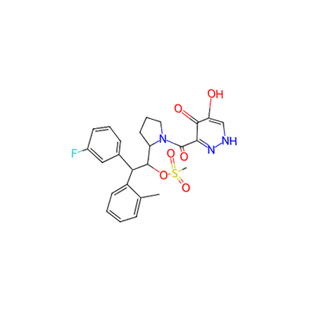 Cc1ccccc1C(c1cccc(F)c1)C(OS(C)(=O)=O)C1CCCN1C(=O)c1n[nH]cc(O)c1=O